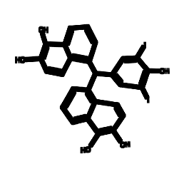 Oc1ccc2c(C(c3cc(I)c(O)c(I)c3)c3cccc4c(O)c(O)ccc34)cccc2c1O